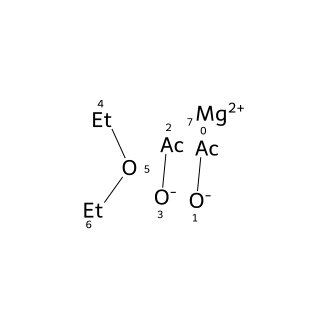 CC(=O)[O-].CC(=O)[O-].CCOCC.[Mg+2]